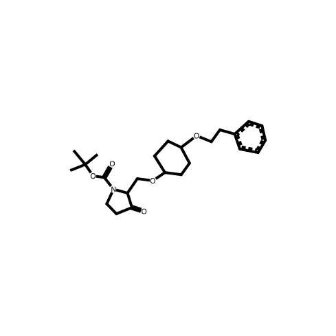 CC(C)(C)OC(=O)N1CCC(=O)C1COC1CCC(OCCc2ccccc2)CC1